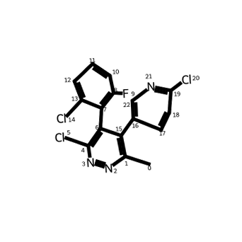 Cc1nnc(Cl)c(-c2c(F)cccc2Cl)c1-c1ccc(Cl)nc1